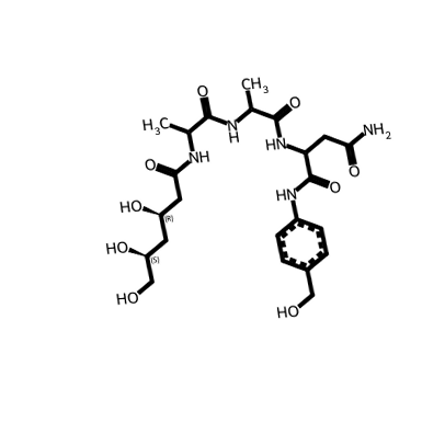 CC(NC(=O)C[C@H](O)C[C@H](O)CO)C(=O)NC(C)C(=O)NC(CC(N)=O)C(=O)Nc1ccc(CO)cc1